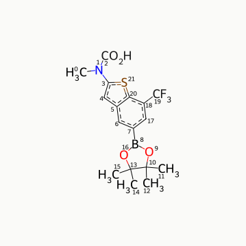 CN(C(=O)O)c1cc2cc(B3OC(C)(C)C(C)(C)O3)cc(C(F)(F)F)c2s1